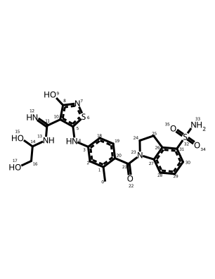 Cc1cc(Nc2snc(O)c2C(=N)NC(O)CO)ccc1C(=O)N1CCc2c1cccc2S(N)(=O)=O